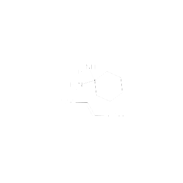 NC1(N)CCCCC1.O=C([O-])C=CC(=O)[O-].[Pt+2]